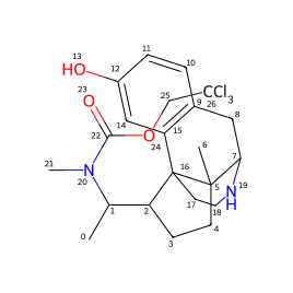 CC(C1CCC2(C)C3Cc4ccc(O)cc4C12CCN3)N(C)C(=O)OCC(Cl)(Cl)Cl